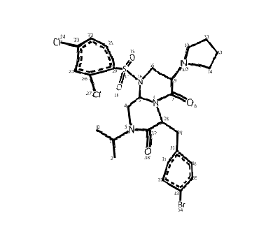 CC(C)N1CC2N(C(=O)C(N3CCCC3)CN2S(=O)(=O)c2ccc(Cl)cc2Cl)C(Cc2ccc(Br)cc2)C1=O